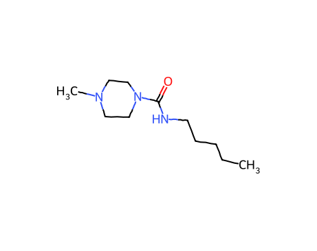 CCCCCNC(=O)N1CCN(C)CC1